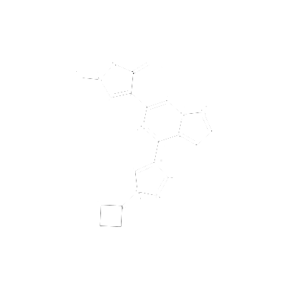 C=C1NN(C)C=C1c1cn2nccc2c(-c2cnn(C3CCC3)c2)n1